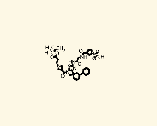 CC(C)(C)OC(=O)CCN1CC(C(=O)NCC2(c3csc(NC(=O)CNC(=O)c4ccn(S(C)(=O)=O)c4)n3)C=CC=C(c3ccccc3)C2)C1